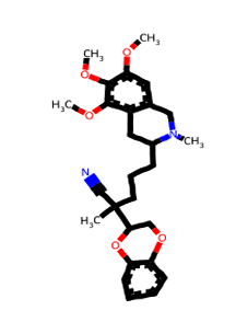 COc1cc2c(c(OC)c1OC)CC(CCCC(C)(C#N)C1COc3ccccc3O1)N(C)C2